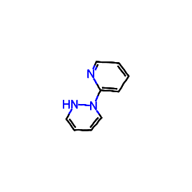 C1=CNN(c2ccccn2)C=C1